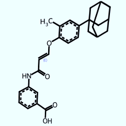 Cc1cc(C23CC4CC(CC(C4)C2)C3)ccc1O/C=C/C(=O)Nc1cccc(C(=O)O)c1